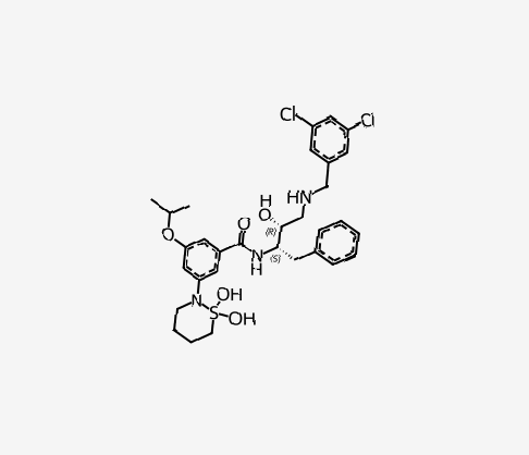 CC(C)Oc1cc(C(=O)N[C@@H](Cc2ccccc2)[C@H](O)CNCc2cc(Cl)cc(Cl)c2)cc(N2CCCCS2(O)O)c1